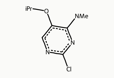 CNc1nc(Cl)ncc1OC(C)C